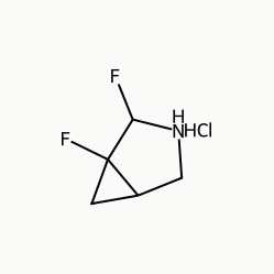 Cl.FC1NCC2CC21F